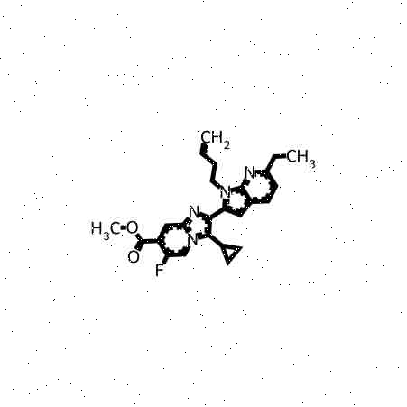 C=CCCn1c(-c2nc3cc(C(=O)OC)c(F)cn3c2C2CC2)cc2ccc(CC)nc21